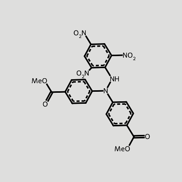 COC(=O)c1ccc(N(Nc2c([N+](=O)[O-])cc([N+](=O)[O-])cc2[N+](=O)[O-])c2ccc(C(=O)OC)cc2)cc1